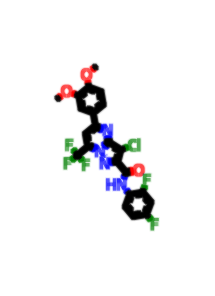 COc1ccc(-c2cc(C(F)(F)F)n3nc(C(=O)Nc4ccc(F)cc4F)c(Cl)c3n2)cc1OC